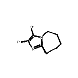 CCc1c(C(C)C)nc2n1CCCCC2